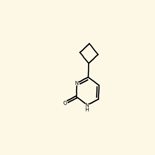 O=c1nc(C2CCC2)cc[nH]1